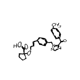 Cc1ccc(C(=O)c2ncnn2Cc2ccc(/C=C/COC3(C(=O)O)CCCC3)cc2)cc1